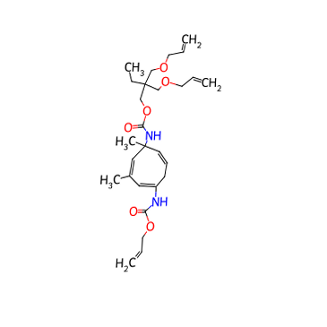 C=CCOCC(CC)(COCC=C)COC(=O)NC1(C)/C=C\C/C(NC(=O)OCC=C)=C\C(C)=C/1